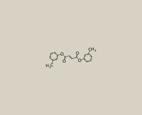 Cc1cccc(OC(=O)C=CC(=O)Oc2cccc(C)c2)c1